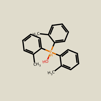 Cc1ccccc1[PH](O)(c1ccccc1C)c1ccccc1C